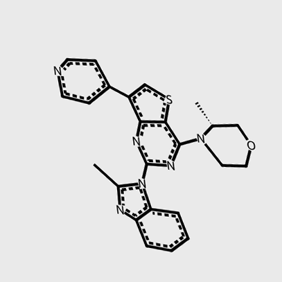 Cc1nc2ccccc2n1-c1nc(N2CCOC[C@H]2C)c2scc(-c3ccncc3)c2n1